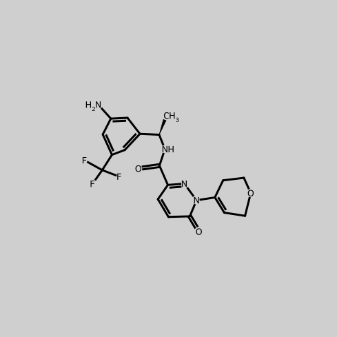 C[C@@H](NC(=O)c1ccc(=O)n(C2=CCOCC2)n1)c1cc(N)cc(C(F)(F)F)c1